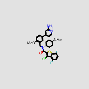 CN[C@H]1CC[C@H](N(Cc2cc(-c3ccnc(N)c3)ccc2OC)C(=O)c2sc3c(F)ccc(F)c3c2Cl)CC1